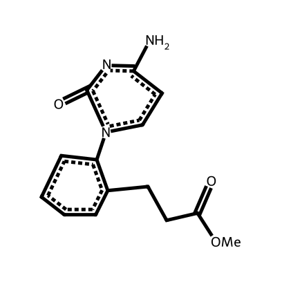 COC(=O)CCc1ccccc1-n1ccc(N)nc1=O